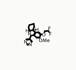 COc1cc2c(cc1OCC(F)F)[C@H]1CCCC[C@H]1N=C2c1cncnc1